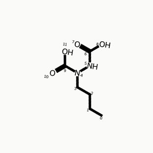 CCCCN(NC(=O)O)C(=O)O